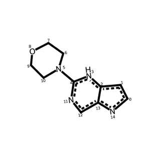 c1cc2[nH]c(N3CCOCC3)ncc-2n1